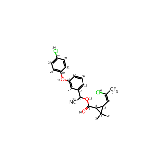 CC1(C)C(C=C(Cl)C(F)(F)F)C1C(=O)OC(C#N)c1cccc(Oc2ccc(Cl)cc2)c1